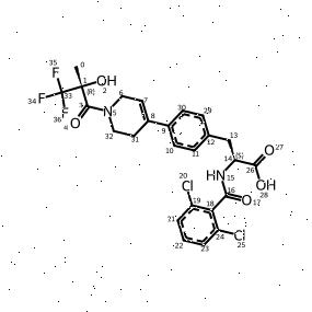 C[C@@](O)(C(=O)N1CC=C(c2ccc(C[C@H](NC(=O)c3c(Cl)cccc3Cl)C(=O)O)cc2)CC1)C(F)(F)F